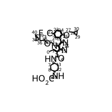 Cc1c(C(=O)N[C@H]2CC[C@H](NC(=O)O)CC2)c2ncnc(-c3cc(C(F)(F)F)ccc3OCC3CC3)c2n1COCC[Si](C)(C)C